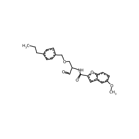 CCCc1ccc(COCC(C=O)NC(=O)c2cc3cc(OC)ccc3o2)cc1